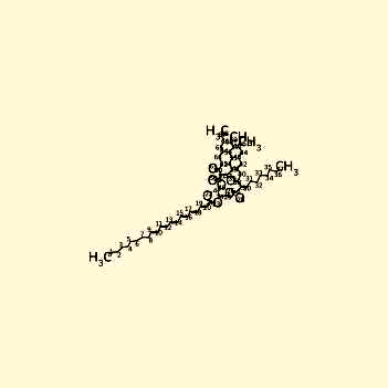 CCCCCCCCCC=CC=CC=CC=CC=CC=CC(=O)OC(COC(=O)C(CCCCCCCC)C(=O)CCCCCCC)COC(=O)C(CCCCCCCC)C(=O)CCCCCCC